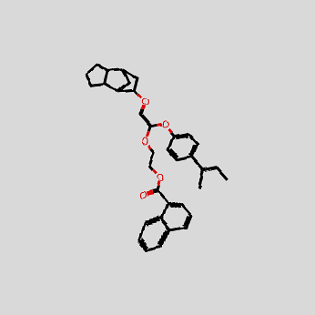 CCC(C)c1ccc(OC(COC2CC3CC2C2CCCC32)OCCOC(=O)c2cccc3ccccc23)cc1